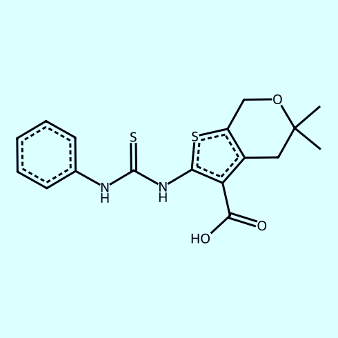 CC1(C)Cc2c(sc(NC(=S)Nc3ccccc3)c2C(=O)O)CO1